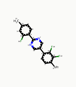 CCCc1ccc(-c2cnc(-c3ccc(C)cc3F)nc2)c(F)c1F